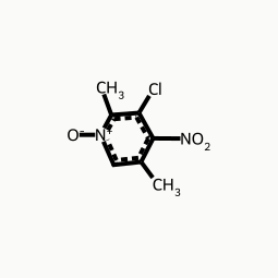 Cc1c[n+]([O-])c(C)c(Cl)c1[N+](=O)[O-]